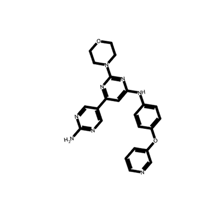 Nc1ncc(-c2cc(Nc3ccc(Oc4cccnc4)cc3)nc(N3CCOCC3)n2)cn1